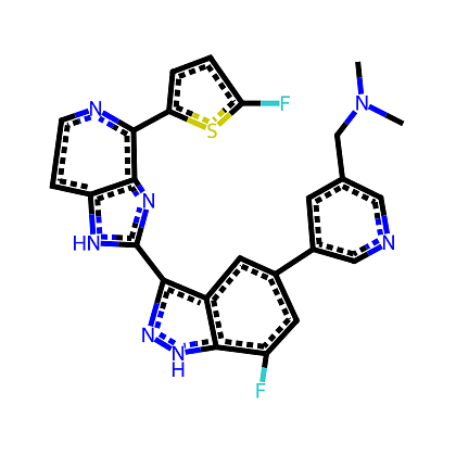 CN(C)Cc1cncc(-c2cc(F)c3[nH]nc(-c4nc5c(-c6ccc(F)s6)nccc5[nH]4)c3c2)c1